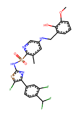 COc1cccc(CNc2cnc(S(=O)(=O)Nc3nc(-c4ccc(C(F)F)c(F)c4)c(F)s3)c(C)c2)c1O